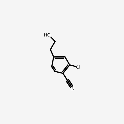 N#Cc1ccc(CCO)cc1Cl